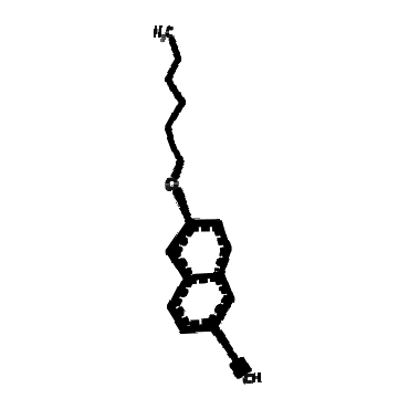 C#Cc1ccc2cc(OCCCCCC)ccc2c1